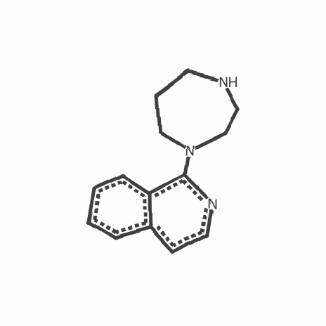 c1ccc2c(N3CCCNCC3)nccc2c1